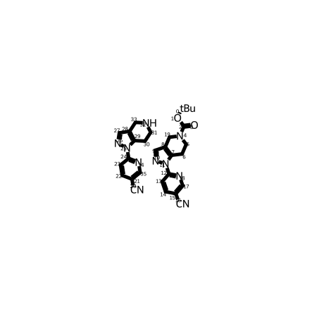 CC(C)(C)OC(=O)N1CCc2c(cnn2-c2ccc(C#N)cn2)C1.N#Cc1ccc(-n2ncc3c2CCNC3)nc1